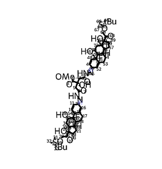 COC(=O)C(O)(CC(=O)N/N=C1\C=C[C@@]2(C)C(=C1)CC[C@H]1[C@@H]3C[C@@H](C)[C@](O)(C(=O)CO[Si](C)(C)C(C)(C)C)[C@@]3(C)C[C@H](O)[C@@]12F)CC(=O)N/N=C1\C=C[C@@]2(C)C(=C1)CC[C@H]1[C@@H]3C[C@@H](C)[C@](O)(C(=O)CO[Si](C)(C)C(C)(C)C)[C@@]3(C)C[C@H](O)[C@@]12F